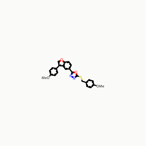 COc1ccc(CSc2nnc(-c3ccc4occ(-c5ccc(OC)cc5)c4c3)o2)cc1